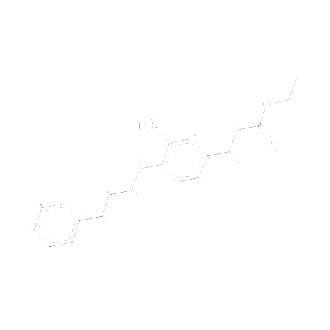 CCOC(=O)CC(C)c1ccc(OCCCc2ccccc2)c(N)c1